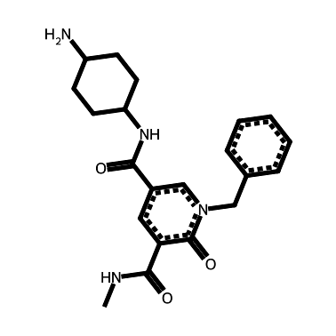 CNC(=O)c1cc(C(=O)NC2CCC(N)CC2)cn(Cc2ccccc2)c1=O